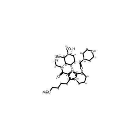 COCCCCc1c(C(=O)N(CC(C)C)[C@H]2C[C@@H](C(=O)N3CCOCC3)CN(C(=O)O)C2C(C)(C)C)nc2n1CCCC2